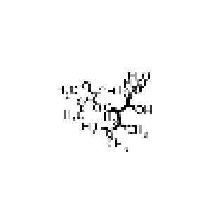 C=C(C(=O)O)C(C)N(C)C.COS(=O)(=O)O.O.O.O.O